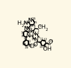 C=CCC(N1CCN(C(=O)c2ccc(C=O)c(O)c2)CC1)n1c(-c2cccnc2N)nc2ccc(-c3cccc(Cl)c3)nc21